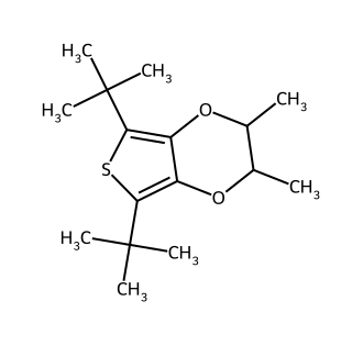 CC1Oc2c(C(C)(C)C)sc(C(C)(C)C)c2OC1C